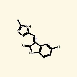 Cc1nnc(/C=C2\C(=O)Nc3ccc(Cl)cc32)[nH]1